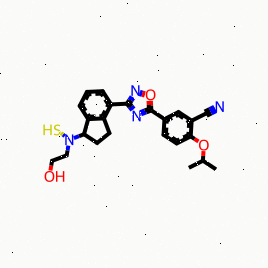 CC(C)Oc1ccc(-c2nc(-c3cccc4c3CCC4N(S)CCO)no2)cc1C#N